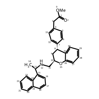 COC(=O)Cc1ccc([C@H]2C[C@H](CN[C@H](C)c3cccc4ccccc34)Oc3ccccc32)cc1